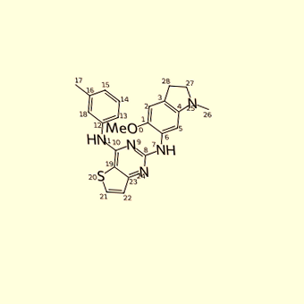 COc1cc2c(cc1Nc1nc(Nc3cccc(C)c3)c3sccc3n1)N(C)CC2